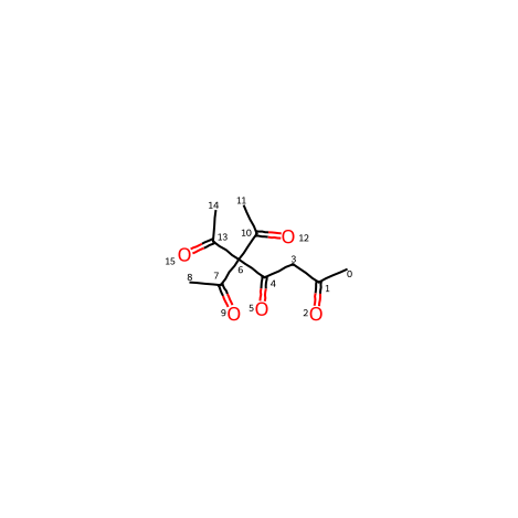 CC(=O)CC(=O)C(C(C)=O)(C(C)=O)C(C)=O